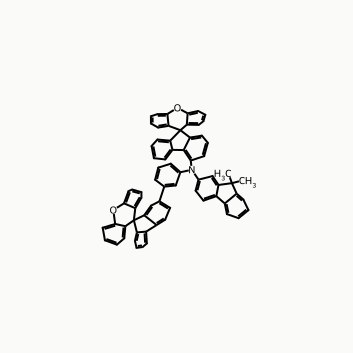 CC1(C)c2ccccc2-c2ccc(N(c3cccc(-c4ccc5c(c4)C4(c6ccccc6Oc6ccccc64)c4ccccc4-5)c3)c3cccc4c3-c3ccccc3C43c4ccccc4Oc4ccccc43)cc21